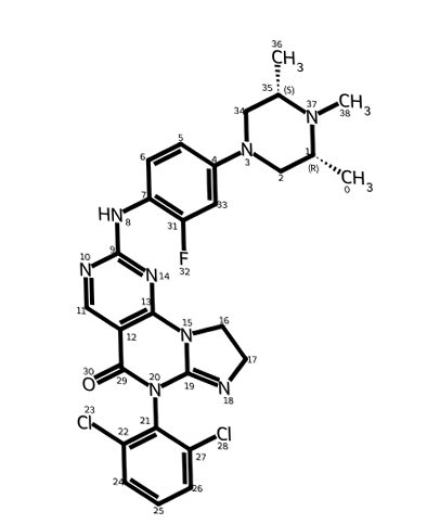 C[C@@H]1CN(c2ccc(Nc3ncc4c(n3)N3CCN=C3N(c3c(Cl)cccc3Cl)C4=O)c(F)c2)C[C@H](C)N1C